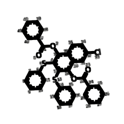 O=C(Oc1c(Sc2ccccc2)c(Sc2ccccc2)c(OC(=O)c2ccccc2)c2cc(Cl)ccc12)c1ccccc1